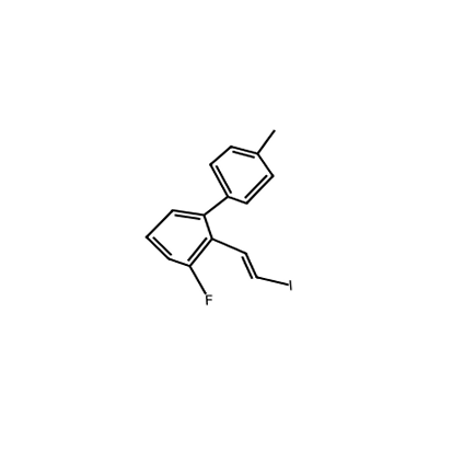 Cc1ccc(-c2cccc(F)c2C=CI)cc1